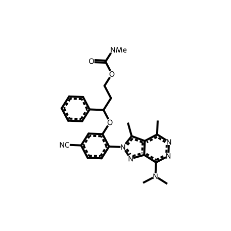 CNC(=O)OCCC(Oc1cc(C#N)ccc1-n1nc2c(N(C)C)nnc(C)c2c1C)c1ccccc1